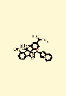 CC(C)c1ccc2c(c1)OC1(O)c3c(cccc3[N+](=O)[O-])C(=O)C21NC(=O)c1cc2ccccn2c1